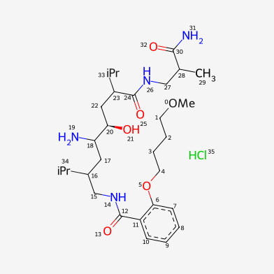 COCCCCOc1ccccc1C(=O)NCC(CC(N)[C@H](O)CC(C(=O)NCC(C)C(N)=O)C(C)C)C(C)C.Cl